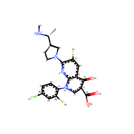 CN[C@H](C)[C@@H]1CCN(c2nc3c(cc2F)c(=O)c(C(=O)O)cn3-c2ccc(F)cc2F)C1